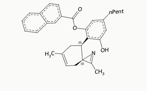 CCCCCc1cc(O)c([C@@H]2CC(C)=CC[C@]23N=C3C)c(OC(=O)c2ccc3ccccc3c2)c1